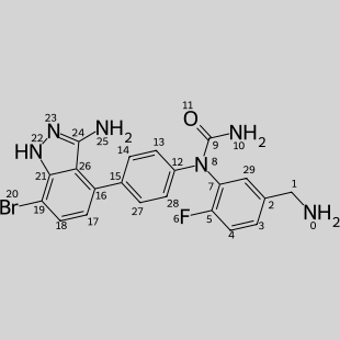 NCc1ccc(F)c(N(C(N)=O)c2ccc(-c3ccc(Br)c4[nH]nc(N)c34)cc2)c1